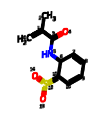 C=C(C)C(=O)NC1C=CC=CC1=S(=O)=O